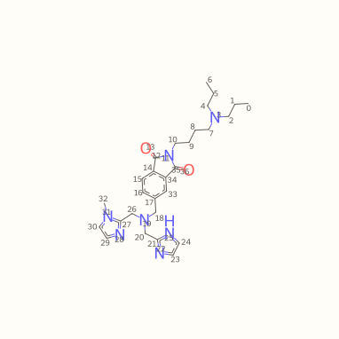 CCCN(CCC)CCCCN1C(=O)c2ccc(CN(Cc3ncc[nH]3)Cc3nccn3C)cc2C1=O